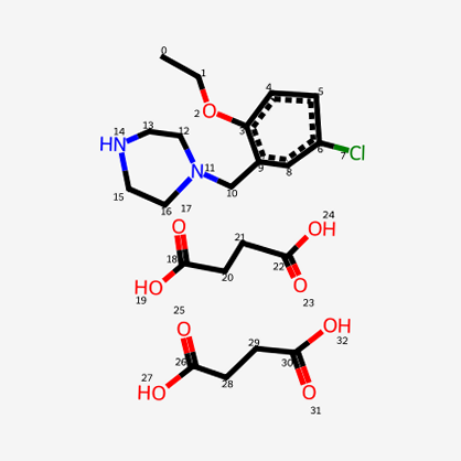 CCOc1ccc(Cl)cc1CN1CCNCC1.O=C(O)CCC(=O)O.O=C(O)CCC(=O)O